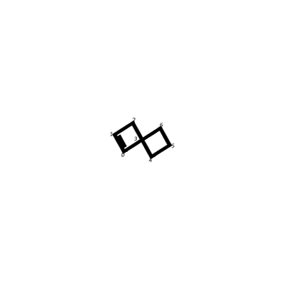 [C]1=CCC12[CH]CC2